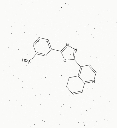 O=C(O)c1cccc(-c2nnc(-c3ccnc4c3CCC=C4)o2)c1